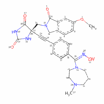 COc1ccc2c(c1)C(=O)N(C[C@@]1(C#Cc3ccc(C(=NO)N4CCCN(C)CC4)cc3)NC(=O)NC1=O)C2